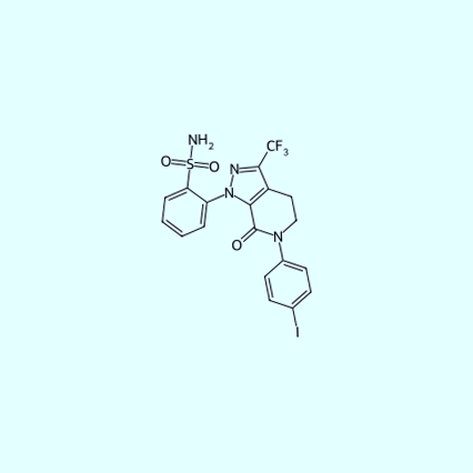 NS(=O)(=O)c1ccccc1-n1nc(C(F)(F)F)c2c1C(=O)N(c1ccc(I)cc1)CC2